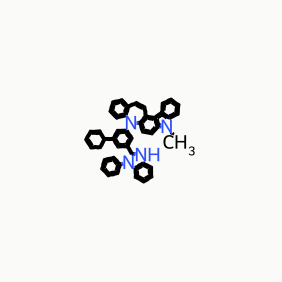 CCn1c2ccccc2c2c3c(ccc21)N(c1cc(C2C=CC=CC2)cc(C2Nc4ccccc4N2c2ccccc2)c1)c1ccccc1C=C3